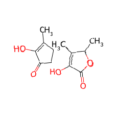 CC1=C(O)C(=O)CC1.CC1=C(O)C(=O)OC1C